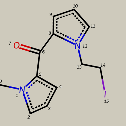 Cn1cccc1C(=O)c1cccn1CCI